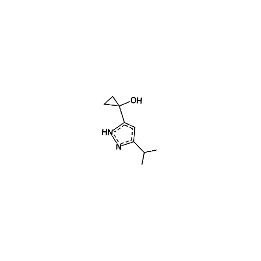 CC(C)c1cc(C2(O)CC2)[nH]n1